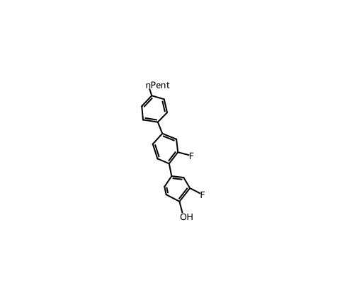 CCCCCc1ccc(-c2ccc(-c3ccc(O)c(F)c3)c(F)c2)cc1